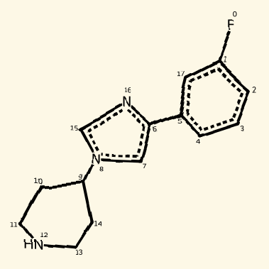 Fc1cccc(-c2cn(C3CCNCC3)cn2)c1